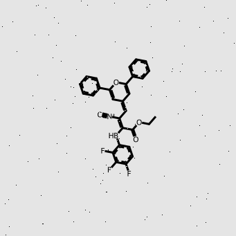 [C-]#[N+]C(C=C1C=C(c2ccccc2)OC(c2ccccc2)=C1)=C(Bc1ccc(F)c(F)c1F)C(=O)OCC